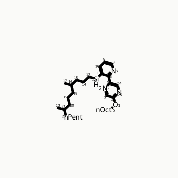 CCCCCCCCOc1cnc(-c2ncccc2[SiH2]CCCC(C)CCCC(C)CCCCC)cn1